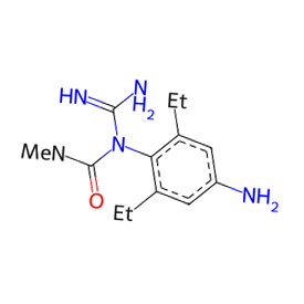 CCc1cc(N)cc(CC)c1N(C(=N)N)C(=O)NC